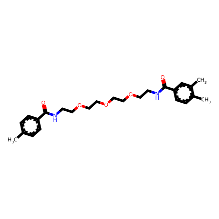 Cc1ccc(C(=O)NCCOCCOCCOCCNC(=O)c2ccc(C)c(C)c2)cc1